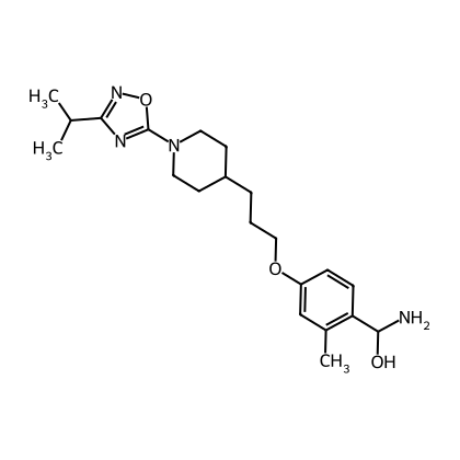 Cc1cc(OCCCC2CCN(c3nc(C(C)C)no3)CC2)ccc1C(N)O